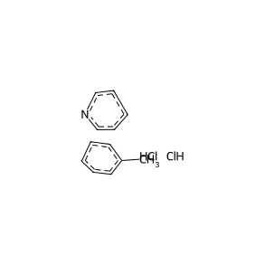 Cc1ccccc1.Cl.Cl.c1ccncc1